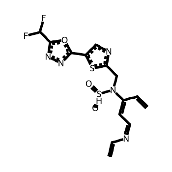 C=C/N=C\C=C(/C=C)N(Cc1ncc(-c2nnc(C(F)F)o2)s1)[SH](=O)=O